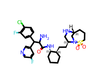 NC(C(=O)N[C@H]1CCCC[C@@H]1CC[C@H]1CN[C@@H]2CCCS(=O)(=O)N1C2)C(c1cncc(F)c1)c1ccc(Cl)c(F)c1